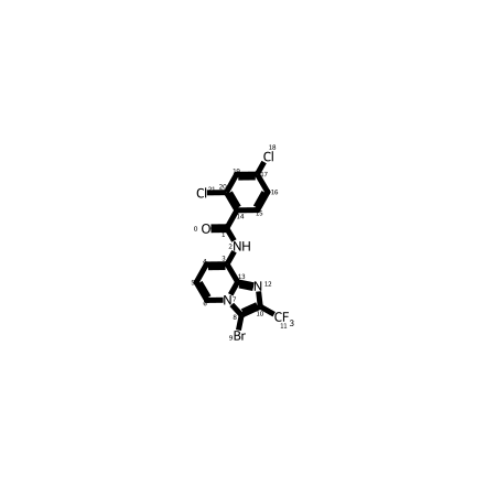 O=C(Nc1cccn2c(Br)c(C(F)(F)F)nc12)c1ccc(Cl)cc1Cl